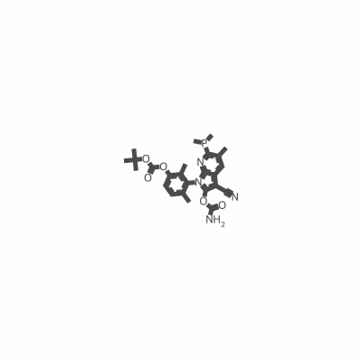 Cc1cc2c(C#N)c(OC(N)=O)n(-c3c(C)ccc(OC(=O)OC(C)(C)C)c3C)c2nc1P(C)C